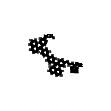 C=Cc1ccc(N(c2ccc(-c3ccc(N(c4ccc(CCC[Si](OCC)(OCC)OCC)cc4)c4cccc5ccccc45)cc3)cc2)c2cccc3ccccc23)cc1